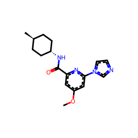 COc1cc(C(=O)N[C@H]2CC[C@H](C)CC2)nc(-n2ccnc2)c1